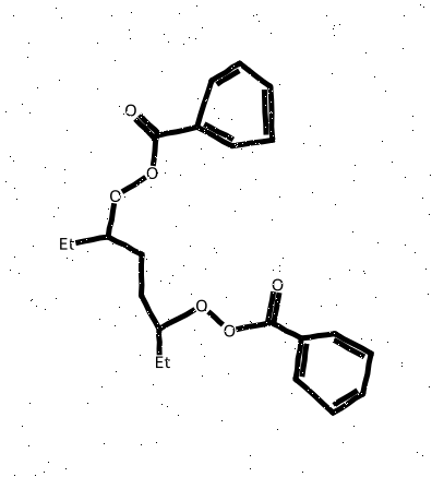 CCC(CCC(CC)OOC(=O)c1ccccc1)OOC(=O)c1ccccc1